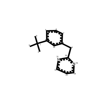 CC(C)(C)c1cccc(Cc2ncccn2)c1